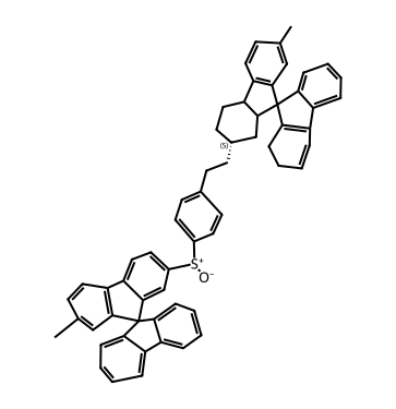 Cc1ccc2c(c1)C1(c3ccccc3-c3ccccc31)c1cc([S+]([O-])c3ccc(CC[C@@H]4CCC5c6ccc(C)cc6C6(C7=C(C=CCC7)c7ccccc76)C5C4)cc3)ccc1-2